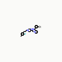 C=C(NC(c1cccc(CC)c1)c1ccccn1)C1CCN(CCCc2ccc(C)cc2F)CC1